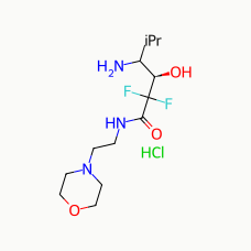 CC(C)C(N)[C@@H](O)C(F)(F)C(=O)NCCN1CCOCC1.Cl